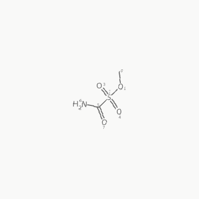 COS(=O)(=O)C(N)=O